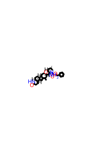 CC1=C2C[C@H]3[C@@H](CC[C@@H]4NC(=O)CC[C@@]43C)[C@@H]2CC[C@@]2(C1)O[C@@H]1C[C@H](C)CN(C(=O)OCc3ccccc3)[C@@]1(N)[C@H]2C